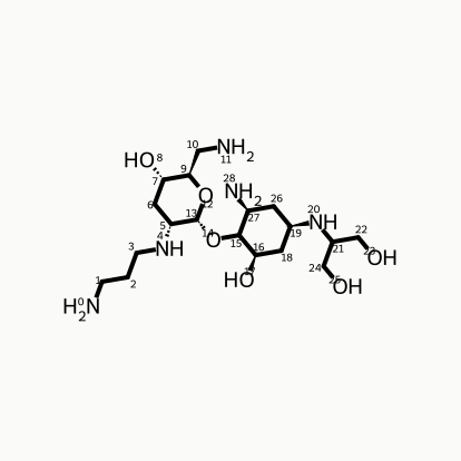 NCCCN[C@@H]1C[C@H](O)[C@@H](CN)O[C@@H]1OC1[C@H](O)C[C@H](NC(CO)CO)C[C@@H]1N